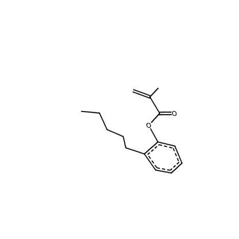 C=C(C)C(=O)Oc1ccccc1CCCCC